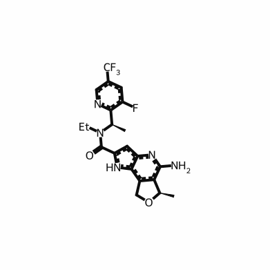 CCN(C(=O)c1cc2nc(N)c3c(c2[nH]1)CO[C@@H]3C)[C@H](C)c1ncc(C(F)(F)F)cc1F